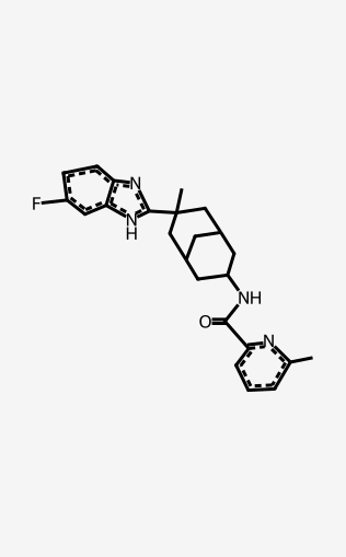 Cc1cccc(C(=O)NC2CC3CC(C2)CC(C)(c2nc4ccc(F)cc4[nH]2)C3)n1